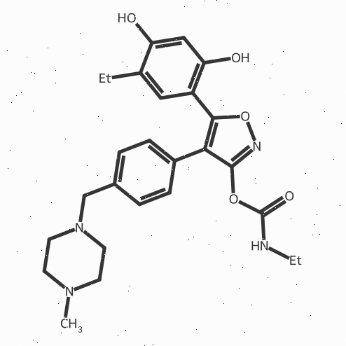 CCNC(=O)Oc1noc(-c2cc(CC)c(O)cc2O)c1-c1ccc(CN2CCN(C)CC2)cc1